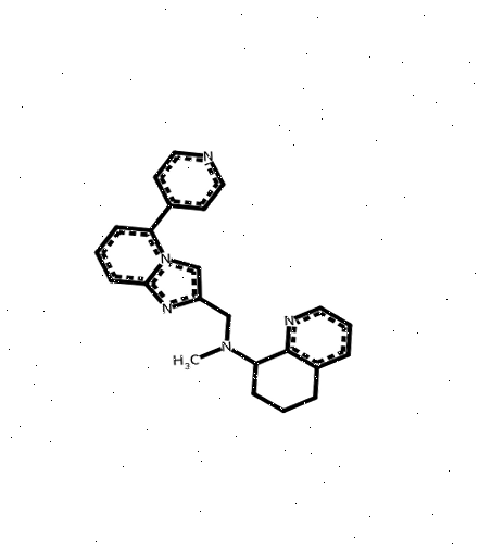 CN(Cc1cn2c(-c3ccncc3)cccc2n1)C1CCCc2cccnc21